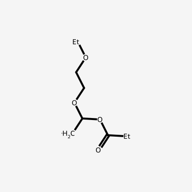 [CH2]C(OCCOCC)OC(=O)CC